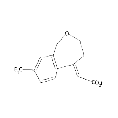 O=C(O)C=C1CCOCc2cc(C(F)(F)F)ccc21